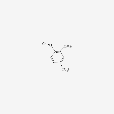 COc1cc(C(=O)O)ccc1OCl